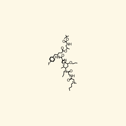 CCCCN(C)CC(=O)NCC(=O)N(CCC)C(CC(OCCC)c1nc(C(=O)NC(CCC(=O)OC(C)CNC(=O)OC(C)(C)C)Cc2ccc(F)cc2)cs1)C(C)C